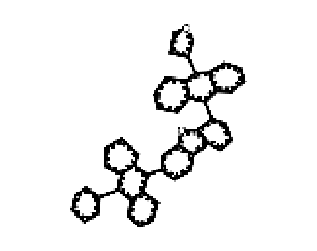 c1ccc(-c2c3ccccc3c(-c3ccc4c(c3)oc3c(-c5c6ccccc6c(-c6ccoc6)c6ccccc56)cccc34)c3ccccc23)cc1